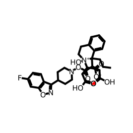 CCCC1(/C(=C/C(=O)O)C(=O)ON2CCC(c3noc4cc(F)ccc34)CC2)c2ccccc2CC[N+]1(O)/C(=C/C(=O)O)C(=O)[O-]